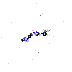 COc1cc(Cl)ccc1CN(C)C1CCN(C(=O)N2CC3(CC(c4nnc(C5CC5)[nH]4)C3)C2)CC1